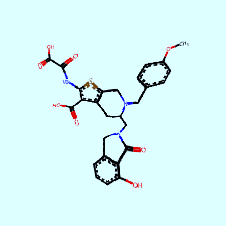 COc1ccc(CN2Cc3sc(NC(=O)C(=O)O)c(C(=O)O)c3CC2CN2Cc3cccc(O)c3C2=O)cc1